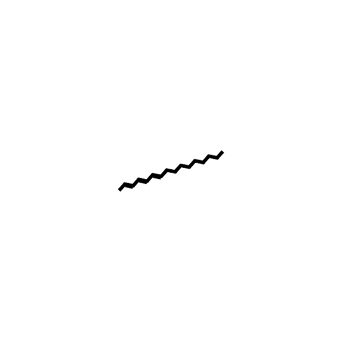 C/C=C/C=C/C=C/CCCCCCCCC